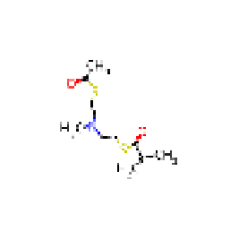 C=C(C)C(=O)SCCN(C)CCSC(C)=O